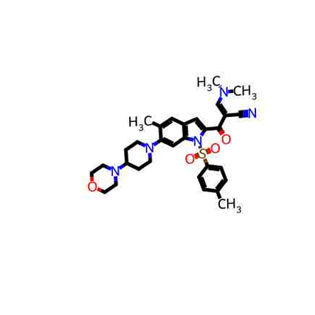 Cc1ccc(S(=O)(=O)n2c(C(=O)/C(C#N)=C/N(C)C)cc3cc(C)c(N4CCC(N5CCOCC5)CC4)cc32)cc1